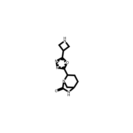 O=C1NC2CCC(c3nnc(C4CNC4)o3)N1C2